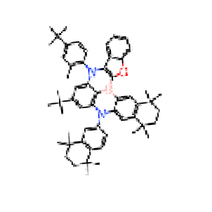 Cc1cc(C(C)(C)C)ccc1N1c2cc(C(C)(C)C)cc3c2B(c2cc4c(cc2N3c2ccc3c(c2)C(C)(C)CCC3(C)C)C(C)(C)CCC4(C)C)c2oc3ccccc3c21